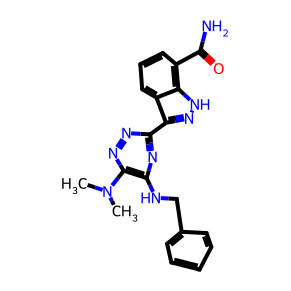 CN(C)c1nnc(-c2n[nH]c3c(C(N)=O)cccc23)nc1NCc1ccccc1